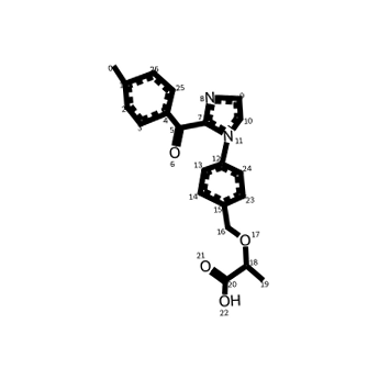 Cc1ccc(C(=O)c2nccn2-c2ccc(COC(C)C(=O)O)cc2)cc1